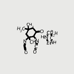 CC1(C)CC(=O)C(N=C=O)C(C)(N=C=O)C1.CCNC(=O)O.N=C=O